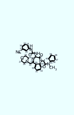 CN(C(=O)CN1C(=O)C(NC(=O)Nc2cccc(C#N)c2)N=C(CN2CCOCC2)c2ccccc21)c1ccccc1